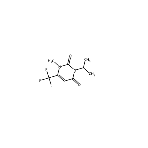 CC(C)n1c(=O)cc(C(F)(F)F)n(C)c1=O